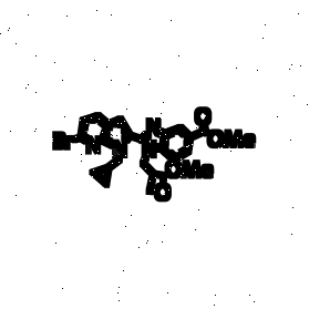 COC(=O)c1cc(OC)c2c(c1)nc(-c1cc3ccc(Br)nc3n1CC1CC1)n2CC1COC1